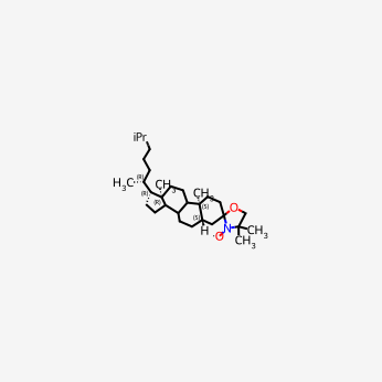 CC(C)CCC[C@@H](C)[C@H]1CCC2C3CC[C@H]4CC5(CC[C@]4(C)C3CC[C@@]21C)OCC(C)(C)N5[O]